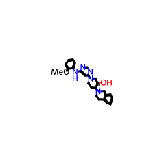 COc1ccccc1Nc1cc(N2CCC(N3CCc4ccccc4C3)[C@@H](O)C2)ncn1